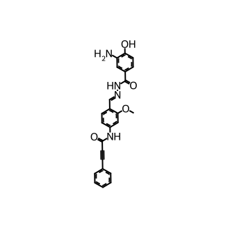 COc1cc(NC(=O)C#Cc2ccccc2)ccc1/C=N/NC(=O)c1ccc(O)c(N)c1